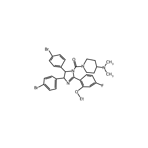 CCOc1cc(F)ccc1C1=NC(c2ccc(Br)cc2)C(c2ccc(Br)cc2)N1C(=O)N1CCC(N(C)C)CC1